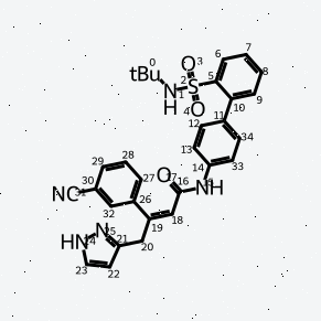 CC(C)(C)NS(=O)(=O)c1ccccc1-c1ccc(NC(=O)C=C(Cc2cc[nH]n2)c2cccc(C#N)c2)cc1